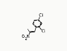 CC(=Cc1ccc(Cl)cc1Cl)[N+](=O)[O-]